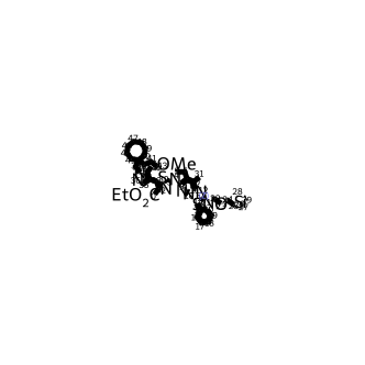 CCOC(=O)c1nc(N2CCc3c2nnc(/N=c2\sc4ccccc4n2COCC[Si](C)(C)C)c3C)sc1-c1cnn(CC2(CCCOC)CCCCCCC2)c1C